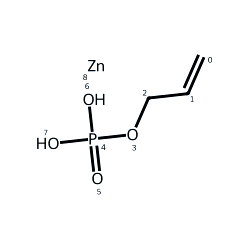 C=CCOP(=O)(O)O.[Zn]